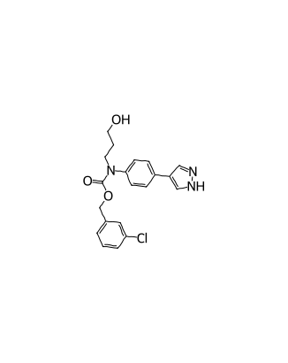 O=C(OCc1cccc(Cl)c1)N(CCCO)c1ccc(-c2cn[nH]c2)cc1